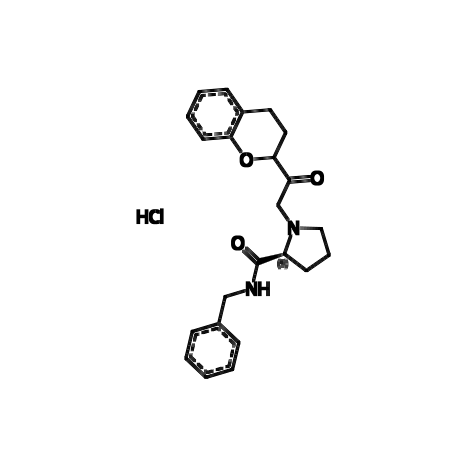 Cl.O=C(CN1CCC[C@H]1C(=O)NCc1ccccc1)C1CCc2ccccc2O1